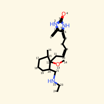 C=c1[nH]c(=O)[nH]/c1=C/C/C=C\CC1(OC)C(C)CCCC1CNCC